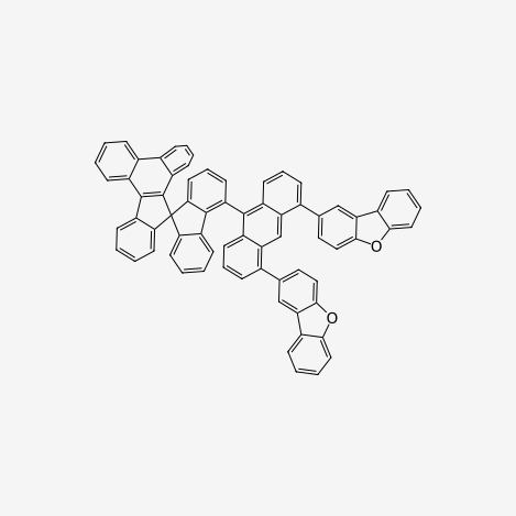 c1ccc2c(c1)-c1c(-c3c4cccc(-c5ccc6oc7ccccc7c6c5)c4cc4c(-c5ccc6oc7ccccc7c6c5)cccc34)cccc1C21c2ccccc2-c2c1c1ccccc1c1ccccc21